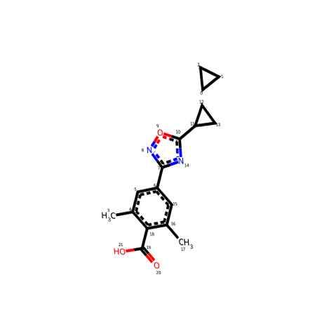 C1CC1.Cc1cc(-c2noc(C3CC3)n2)cc(C)c1C(=O)O